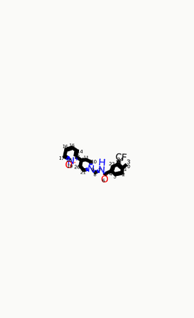 Cc1ccc(C(=O)NCN2CCC(c3cccc[n+]3[O-])CC2)cc1C(F)(F)F